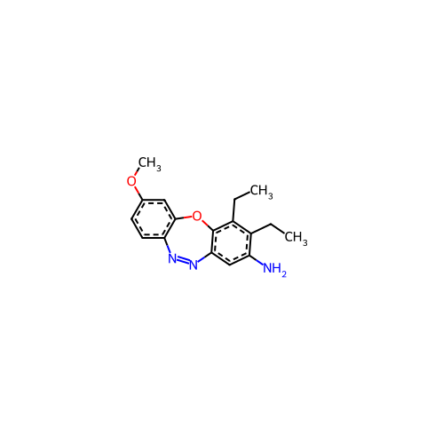 CCc1c(N)cc2c(c1CC)Oc1cc(OC)ccc1N=N2